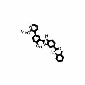 COc1ncccc1-c1ccc(O)c(-c2nc3cc(C(=O)Nc4ccccc4C)ccc3[nH]2)c1